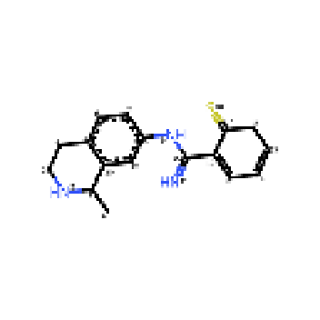 CC1NCCc2ccc(NC(=N)C3=CC=CCC3=S)cc21